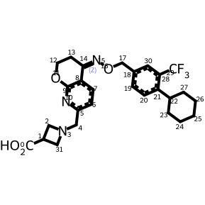 O=C(O)C1CN(Cc2ccc3c(n2)OCC/C3=N/OCc2ccc(C3CCCCC3)c(C(F)(F)F)c2)C1